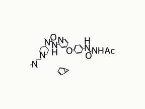 CC(=O)NC(=O)Nc1ccc(Oc2ccnc(NC(=O)N(C)C3CCN(CCN(C)C)CC3)c2)cc1.c1cc2cc-2c1